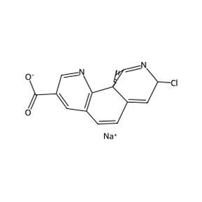 O=C([O-])c1cnc2c(c1)C=CC1=CC(Cl)N=C3C=CC=CC132.[Na+]